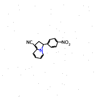 N#CC1=C2C=CC=CN2C(c2ccc([N+](=O)[O-])cc2)C1